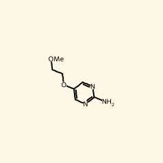 COCCOc1cnc(N)nc1